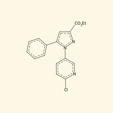 CCOC(=O)c1cc(-c2ccccc2)n(-c2ccc(Cl)nc2)n1